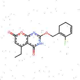 CCc1cc(=O)oc2nc(OCC3=C(F)C=CCC3)[nH]c(=O)c12